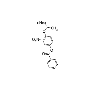 CCCCCC[C@H](C)Oc1ccc(OC(=O)c2ccccc2)cc1[N+](=O)[O-]